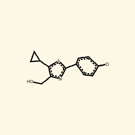 OCc1nc(-c2ccc(Cl)cc2)sc1C1CC1